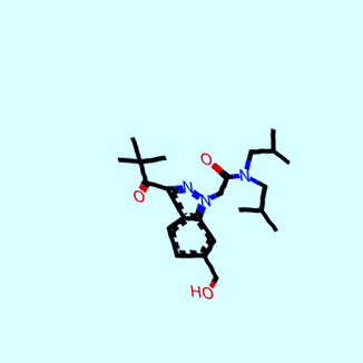 CC(C)CN(CC(C)C)C(=O)Cn1nc(C(=O)C(C)(C)C)c2ccc(CO)cc21